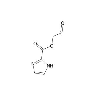 O=CCOC(=O)c1ncc[nH]1